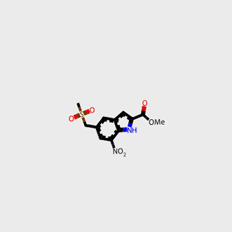 COC(=O)c1cc2cc(CS(C)(=O)=O)cc([N+](=O)[O-])c2[nH]1